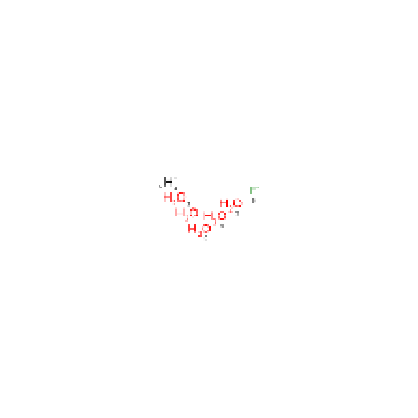 O.O.O.O.O.[F-].[H+]